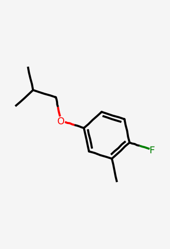 Cc1cc(OCC(C)C)ccc1F